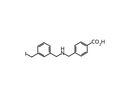 O=C(O)c1ccc(CNCc2cccc(CI)c2)cc1